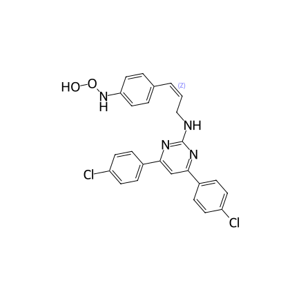 OONc1ccc(/C=C\CNc2nc(-c3ccc(Cl)cc3)cc(-c3ccc(Cl)cc3)n2)cc1